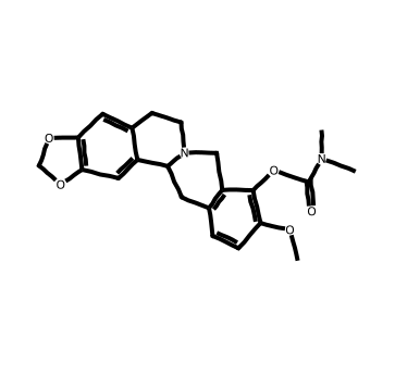 COc1ccc2c(c1OC(=O)N(C)C)CN1CCc3cc4c(cc3C1C2)OCO4